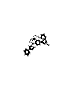 O=C(O)[C@H]1CN(C(=C[N+](=O)[O-])N2CCCCC2)CC[C@@H]1C(=O)N1CC[C@H](c2ccccc2)C1